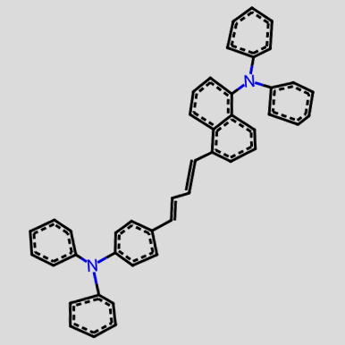 C(C=Cc1cccc2c(N(c3ccccc3)c3ccccc3)cccc12)=Cc1ccc(N(c2ccccc2)c2ccccc2)cc1